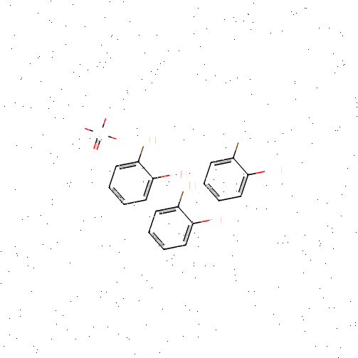 Oc1ccccc1[SH2+].Oc1ccccc1[SH2+].Oc1ccccc1[SH2+].[O]=[Sb]([O-])([O-])[O-]